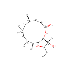 CC[C@@H](O)C(C)(O)[C@H]1CC(C)C(C)CC(C)(C)C[C@@H](C)CCC(=O)O1